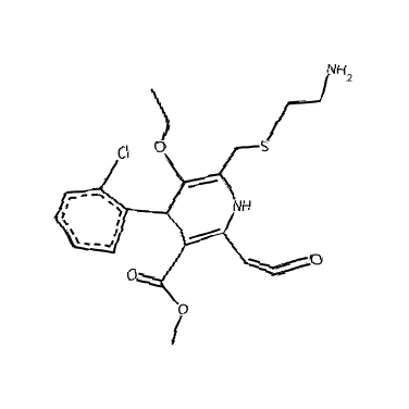 CCOC1=C(CSCCN)NC(C=C=O)=C(C(=O)OC)C1c1ccccc1Cl